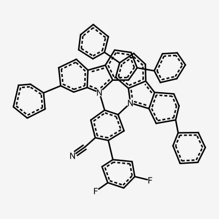 N#Cc1cc(-n2c3cc(-c4ccccc4)ccc3c3ccc(-c4ccccc4)cc32)c(-n2c3cc(-c4ccccc4)ccc3c3ccc(-c4ccccc4)cc32)cc1-c1cc(F)cc(F)c1